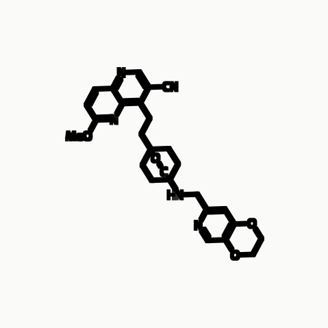 COc1ccc2ncc(C#N)c(CCC34CCC(NCc5cc6c(cn5)OCCO6)(CC3)CO4)c2n1